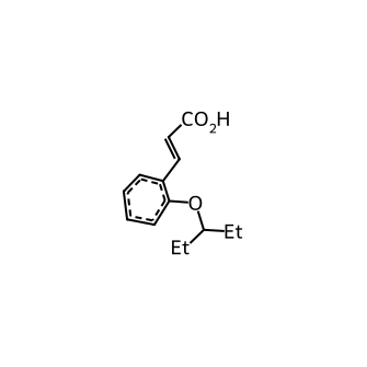 CCC(CC)Oc1ccccc1/C=C/C(=O)O